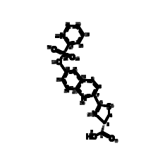 O=C(O)[C@H]1CSC(c2ccc3cc(OS(=O)(=O)c4ccccn4)ccc3n2)=N1